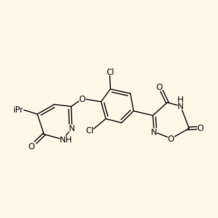 CC(C)c1cc(Oc2c(Cl)cc(-c3noc(=O)[nH]c3=O)cc2Cl)n[nH]c1=O